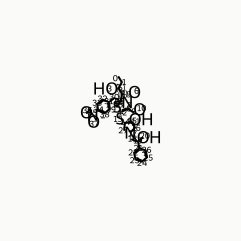 CC[C@H](O)[C@@H]1C(=O)N2C(C(=O)O)=C(SC3CCN(CC(O)c4ccccc4)C3)S[C@]12Cc1ccc([N+](=O)[O-])cc1